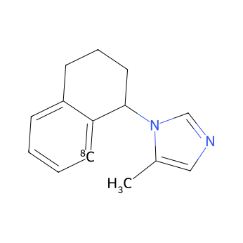 Cc1cncn1C1CCCc2ccc[8cH]c21